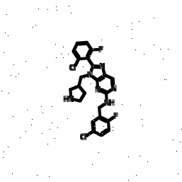 Fc1ccc(Cl)cc1CNc1ncc2nc(-c3c(F)cccc3Cl)n(CC3CCNC3)c2n1